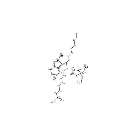 CCCCCCCCCCCCCCCCCC(=O)[O-].OCC(CO)(CO)CO.Sc1nc2ccccc2s1.[Na+]